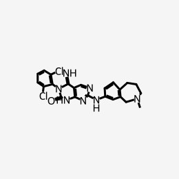 CN1CCCc2ccc(Nc3ncc4c(=N)n(-c5c(Cl)cccc5Cl)c(=O)[nH]c4n3)cc2C1